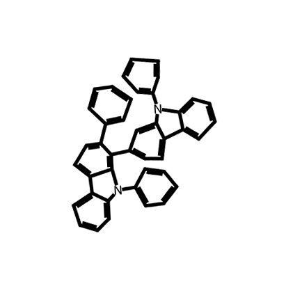 c1ccc(-c2ccc3c4ccccc4n(-c4ccccc4)c3c2-c2ccc3c4ccccc4n(-c4ccccc4)c3c2)cc1